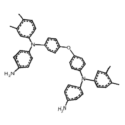 Cc1ccc(N(c2ccc(N)cc2)c2ccc(Oc3ccc(N(c4ccc(N)cc4)c4ccc(C)c(C)c4)cc3)cc2)cc1C